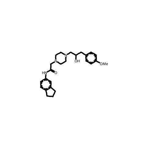 COc1ccc(CC(O)CN2CCN(CC(=O)Nc3ccc4c(c3)CCC4)CC2)cc1